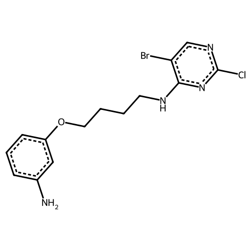 Nc1cccc(OCCCCNc2nc(Cl)ncc2Br)c1